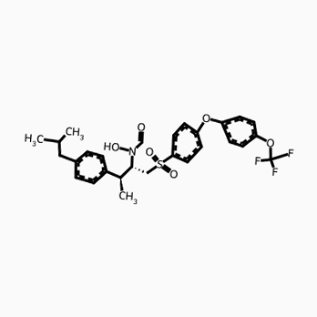 CC(C)Cc1ccc([C@H](C)[C@@H](CS(=O)(=O)c2ccc(Oc3ccc(OC(F)(F)F)cc3)cc2)N(O)C=O)cc1